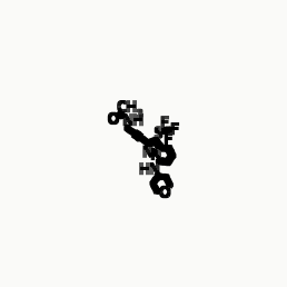 CC(=O)NCC#Cc1nn2c(NC3CCOCC3)cccc2c1SC(F)(F)F